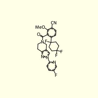 COc1c(C#N)ccc(C2(F)CCC(F)(F)CC2)c1C(=O)N1CCc2nn(-c3ccc(F)cn3)cc2C1